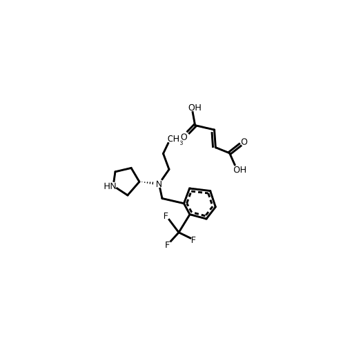 CCCN(Cc1ccccc1C(F)(F)F)[C@H]1CCNC1.O=C(O)/C=C/C(=O)O